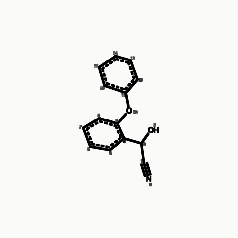 N#CC(O)c1ccccc1Oc1ccccc1